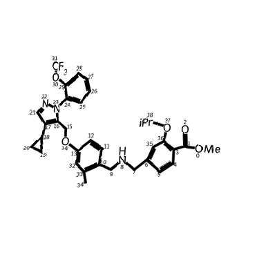 COC(=O)c1ccc(CNCc2ccc(OCc3c(C4CC4)cnn3-c3ccccc3OC(F)(F)F)cc2C)cc1OC(C)C